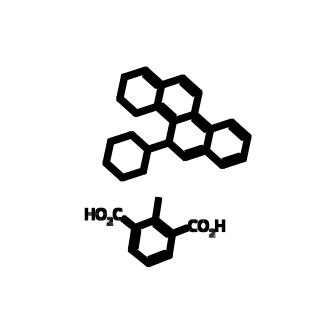 C1=c2ccc3c(c2CCC1)C(C1CCCCC1)C=c1ccccc1=3.Cc1c(C(=O)O)cccc1C(=O)O